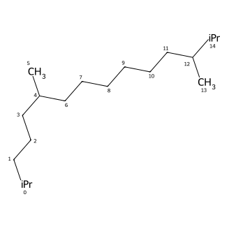 CC(C)CCCC(C)CCCCCCC(C)C(C)C